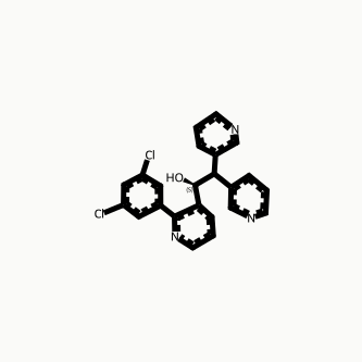 O[C@H](c1cccnc1-c1cc(Cl)cc(Cl)c1)C(c1cccnc1)c1cccnc1